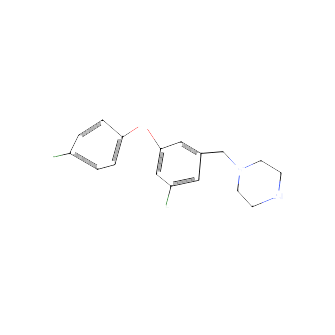 Clc1ccc(Oc2cc(Cl)cc(CN3CCNCC3)c2)cc1